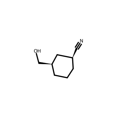 N#C[C@H]1CCC[C@@H](CO)C1